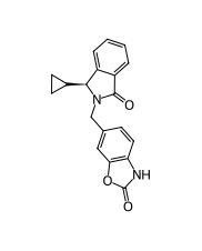 O=C1c2ccccc2[C@H](C2CC2)N1Cc1ccc2[nH]c(=O)oc2c1